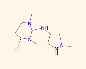 CN1CC(NC2N(C)CCC(Cl)N2C)CN1